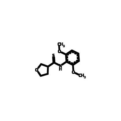 COc1cccc(OC)c1NC(=S)C1CCOC1